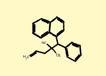 C=CCC(C#N)(C#N)C(c1ccccc1)c1cccc2ccccc12